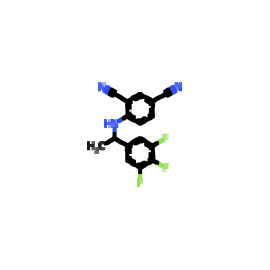 CC(Nc1ccc(C#N)cc1C#N)c1cc(F)c(F)c(F)c1